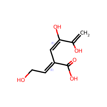 C=C(O)/C(O)=C\C(=C/CO)C(=O)O